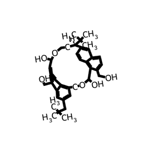 CC(C)(C)Cc1cc2c3ccc(c(CO)c3c1)C(O)OCC[C@@H](C(C)(C)C)c1ccc3c(c(CO)ccc3c1)C(O)OC2